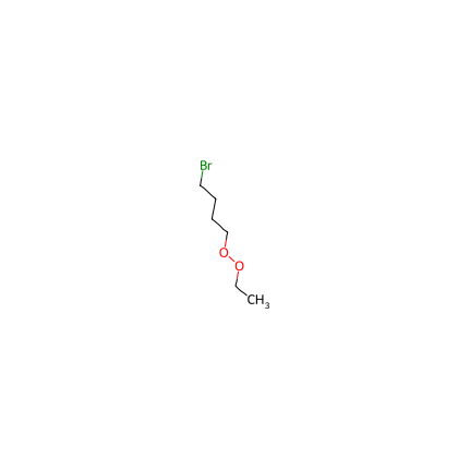 CCOOCCCCBr